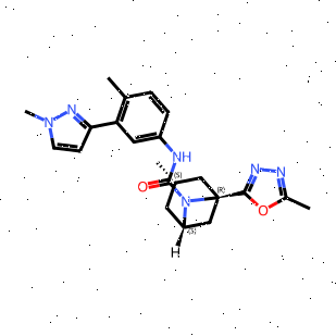 Cc1nnc([C@@]23C[C@@H](C)C[C@@H](C2)N3C(=O)Nc2ccc(C)c(-c3ccn(C)n3)c2)o1